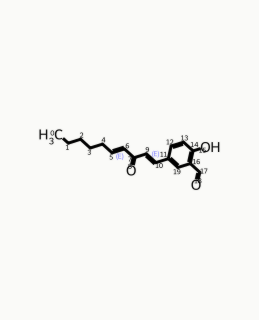 CCCCC/C=C/C(=O)/C=C/c1ccc(O)c(C=O)c1